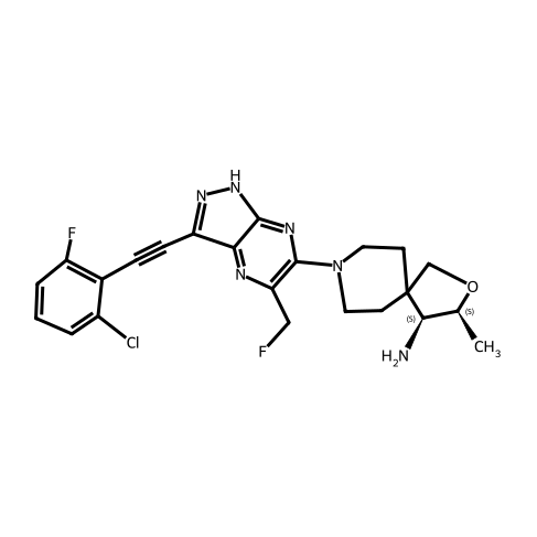 C[C@@H]1OCC2(CCN(c3nc4[nH]nc(C#Cc5c(F)cccc5Cl)c4nc3CF)CC2)[C@@H]1N